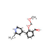 COCOc1c(C=O)cccc1-c1ccnc(C)c1